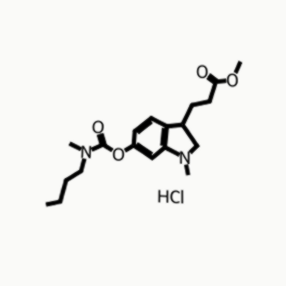 CCCCN(C)C(=O)Oc1ccc2c(c1)N(C)CC2CCC(=O)OC.Cl